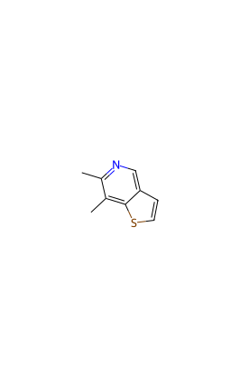 Cc1ncc2ccsc2c1C